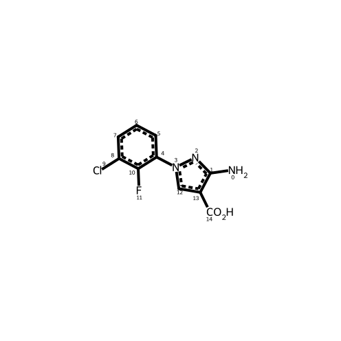 Nc1nn(-c2cccc(Cl)c2F)cc1C(=O)O